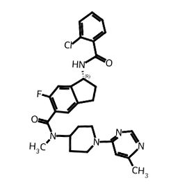 Cc1cc(N2CCC(N(C)C(=O)c3cc4c(cc3F)[C@H](NC(=O)c3ccccc3Cl)CC4)CC2)ncn1